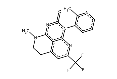 Cc1ncccc1-n1c(=O)nc2c3c(cc(C(F)(F)F)nc31)CCN2C